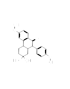 COc1ccc(C2C(=O)c3ccc(OC)cc3C3CCC(C)(C)CC32)cc1